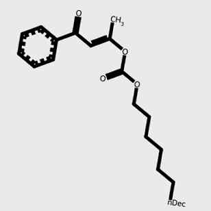 CCCCCCCCCCCCCCCCOC(=O)O/C(C)=C/C(=O)c1ccccc1